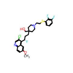 COc1ccc2ncc(Cl)c([C@@H](F)CCC3(CO)CCN(CCSc4cccc(F)c4F)CC3)c2c1